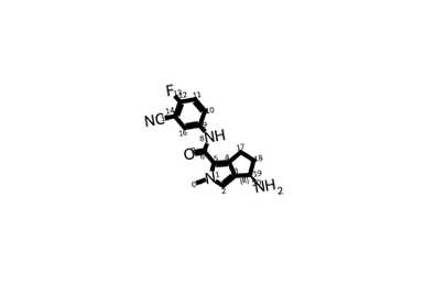 Cn1cc2c(c1C(=O)Nc1ccc(F)c(C#N)c1)CC[C@H]2N